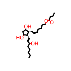 CCCCC[C@H](O)/C=C/[C@@H]1[C@@H](C/C=C\CCCCOC(=O)CCC)[C@@H](O)C[C@H]1O